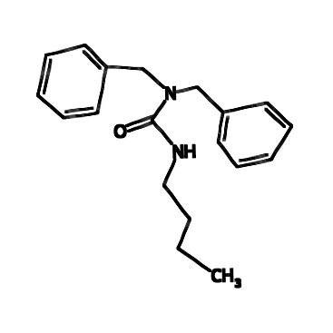 CCCCNC(=O)N(Cc1ccccc1)Cc1ccccc1